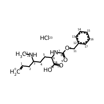 C=CCC(CCC(NC(=O)OCc1ccccc1)C(=O)O)NC.Cl